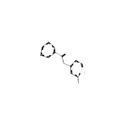 Cc1cc(CC(=O)c2ccccc2)ccn1